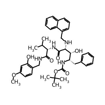 COc1ccc(CNC(=O)[C@@H](NC(=O)[C@H](NCc2cccc3ccccc23)[C@H](O)[C@H](Cc2ccccc2)NC(=O)OC(C)(C)C)C(C)C)c(O)c1